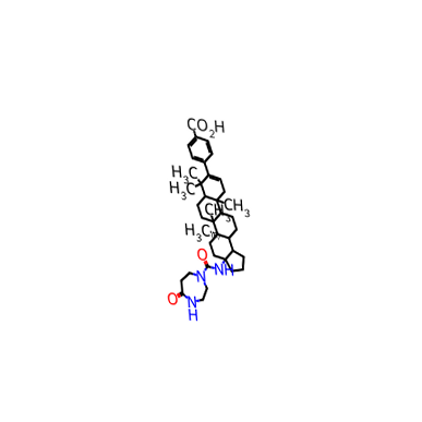 CC1(C)C(c2ccc(C(=O)O)cc2)=CCC2(C)C1CCC1(C)C2CCC2C3CCCC3(NC(=O)N3CCNC(=O)CC3)CC[C@]21C